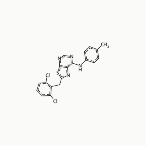 Cc1ccc(Nc2ncnc3sc(Cc4c(Cl)cccc4Cl)nc23)cc1